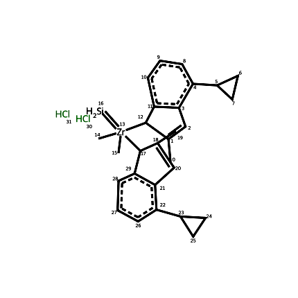 CC1=Cc2c(C3CC3)cccc2[CH]1[Zr]([CH3])([CH3])(=[SiH2])[CH]1C(C)=Cc2c(C3CC3)cccc21.Cl.Cl